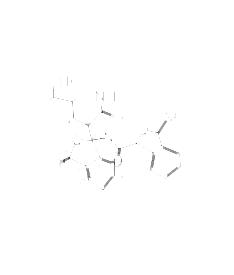 [NH]C(=O)C(CCCC=O)C1(NC(=O)C2OC(=O)c3ccccc32)OC(=O)c2ccccc21